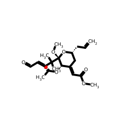 C=CC[C@@H]1C/C(=C\C(=O)OC)[C@H](OC(C)=O)[C@](OC)(C(C)(C)/C=C/C=O)O1